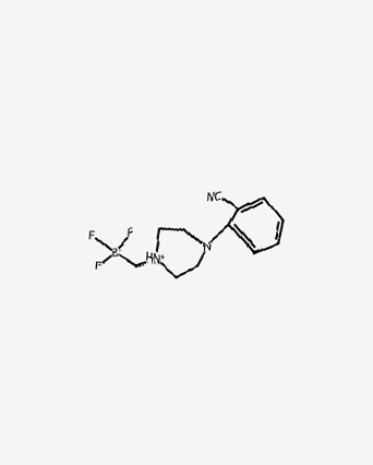 N#Cc1ccccc1N1CC[NH+](C[B-](F)(F)F)CC1